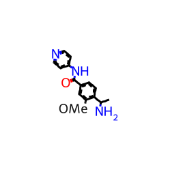 COc1cc(C(=O)Nc2ccncc2)ccc1C(C)N